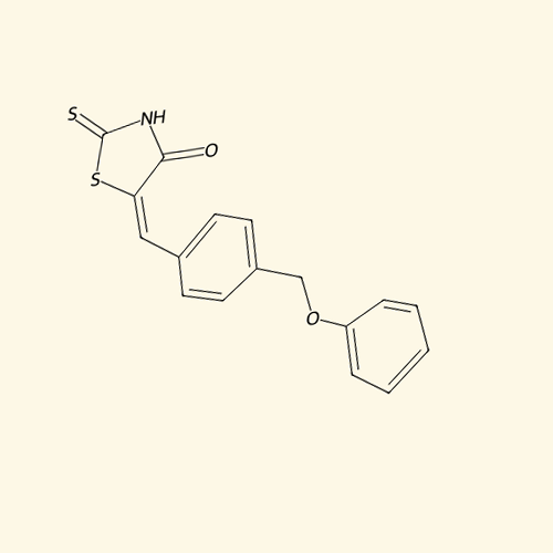 O=C1NC(=S)SC1=Cc1ccc(COc2ccccc2)cc1